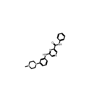 CN1CCN(c2cccc(Nc3cncc(C(=O)Nc4ccccc4)n3)c2)CC1